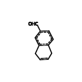 O=Cc1ccc2c(c1)CC=CC2